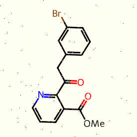 COC(=O)c1cccnc1C(=O)Cc1cccc(Br)c1